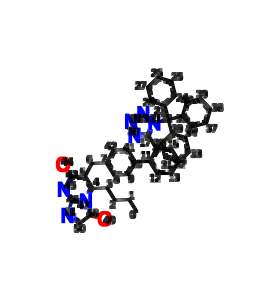 CCCCc1c(Cc2ccc(-c3ccccc3-c3nnnn3C(c3ccccc3)(c3ccccc3)c3ccccc3)cc2)c(=O)nc2n1C(=O)C=N2